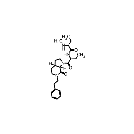 CC[C@H](NC)C(=O)N[C@@H](CC)C(=O)N1CC[C@H]2CCN(CCc3ccccc3)C(=O)[C@H]21